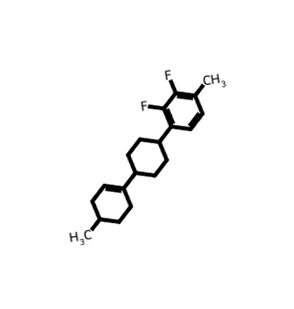 Cc1ccc(C2CCC(C3=CCC(C)CC3)CC2)c(F)c1F